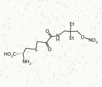 CCC(CC)(CNC(=O)C(=O)CSC[C@H](N)C(=O)O)CO[N+](=O)[O-]